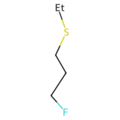 [CH2]CSCCCF